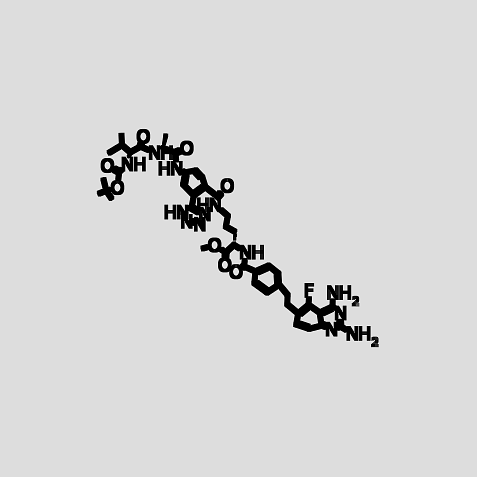 COC(=O)[C@H](CCCNC(=O)c1ccc(NC(=O)[C@H](C)NC(=O)[C@@H](NC(=O)OC(C)(C)C)C(C)C)cc1-c1nnn[nH]1)NC(=O)c1ccc(CCc2ccc3nc(N)nc(N)c3c2F)cc1